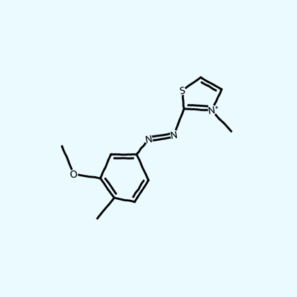 COc1cc(N=Nc2scc[n+]2C)ccc1C